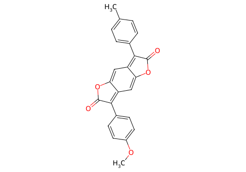 COc1ccc(C2=c3cc4c(cc3OC2=O)=C(c2ccc(C)cc2)C(=O)O4)cc1